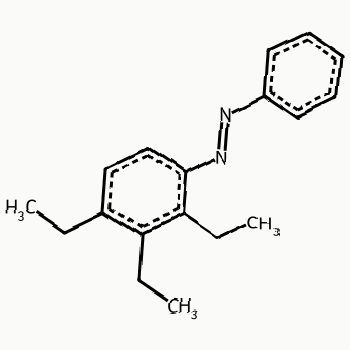 CCc1ccc(N=Nc2ccccc2)c(CC)c1CC